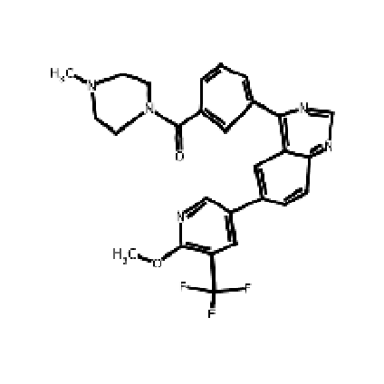 COc1ncc(-c2ccc3ncnc(-c4cccc(C(=O)N5CCN(C)CC5)c4)c3c2)cc1C(F)(F)F